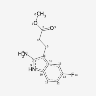 COC(=O)CCc1c(N)[nH]c2ccc(F)cc12